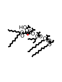 C=C(C)C(=O)O.C=C(C)C(=O)OC(C)(C)C.C=C(C)C(=O)OC(CCCCCCC)CCCCCCCCCC.C=C(C)C(=O)OCC(CC)CCCC.C=C(C)C(=O)OCCCCCCCCCCCC.C=CC(=O)OCCCCCCCCCCCC